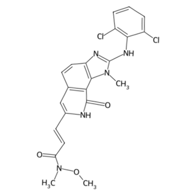 CON(C)C(=O)/C=C/c1cc2ccc3nc(Nc4c(Cl)cccc4Cl)n(C)c3c2c(=O)[nH]1